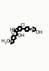 Cn1ccc2cc(/C(O)=C3\C(=O)Nc4cc(Cl)c(-c5ccc(N6CCC(O)C6)cc5)cc43)ccc21